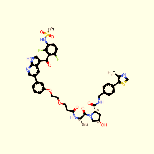 CCCS(=O)(=O)Nc1ccc(F)c(C(=O)c2c[nH]c3ncc(-c4cccc(OCCOCCC(=O)N[C@H](C(=O)N5C[C@H](O)C[C@H]5C(=O)NCc5ccc(-c6scnc6C)cc5)C(C)(C)C)c4)cc23)c1F